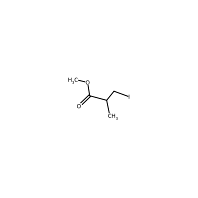 COC(=O)C(C)CI